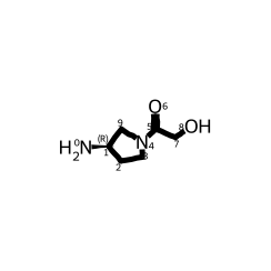 N[C@@H]1CCN(C(=O)CO)C1